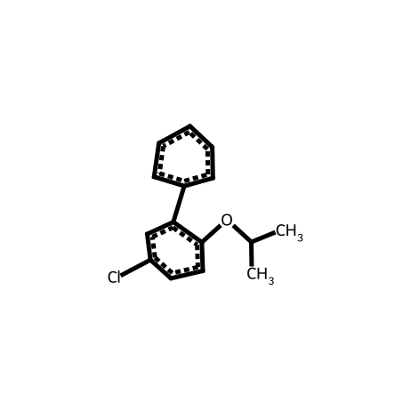 CC(C)Oc1ccc(Cl)cc1-c1ccccc1